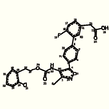 Cc1noc(-c2ccc(-c3cc(CC(=O)O)ccc3F)cc2)c1NC(=O)OCCc1ccccc1Cl